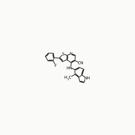 Cc1c(Nc2c(C#N)cnc3sc(-c4ccccc4F)cc23)ccc2[nH]ccc12